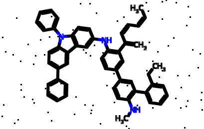 C=C(/C=C\C=C/C)c1cc(-c2ccc(NC)c(-c3ccccc3CC)c2)ccc1Nc1ccc2c(c1)c1cc(-c3ccccc3)ccc1n2-c1ccccc1